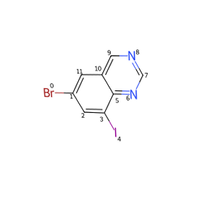 Brc1cc(I)c2ncncc2c1